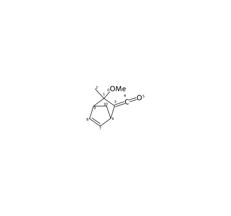 COC1(C)C(=C=O)C2C=CC1C2